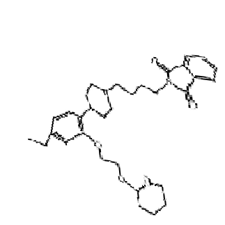 CCc1ccc(C2CCN(CCCCN3C(=O)c4ccccc4C3=O)CC2)c(OCCOC2CCCCO2)c1